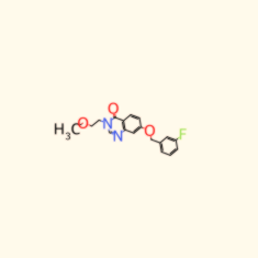 COCCn1cnc2cc(OCc3cccc(F)c3)ccc2c1=O